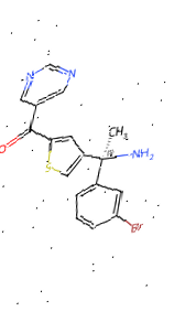 C[C@](N)(c1cccc(Br)c1)c1csc(C(=O)c2cncnc2)c1